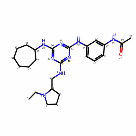 CCN1CCCC1CNc1nc(Nc2cccc(NC(C)=O)c2)nc(NC2CCCCCC2)n1